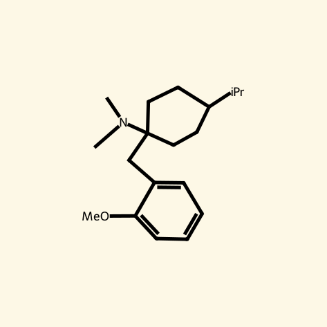 COc1ccccc1CC1(N(C)C)CCC(C(C)C)CC1